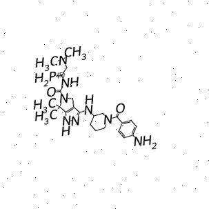 CN(C)C[C@H](P)NC(=O)N1Cc2c(NC3CCCN(C(=O)c4ccc(N)cc4)C3)n[nH]c2C1(C)C